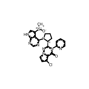 C[S@+]([O-])c1c[nH]c2ncnc(N3CCC[C@H]3c3nn4ccc(Cl)c4c(=O)n3-c3ccccn3)c12